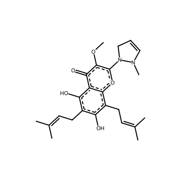 COc1c(N2CC=CN2C)oc2c(CC=C(C)C)c(O)c(CC=C(C)C)c(O)c2c1=O